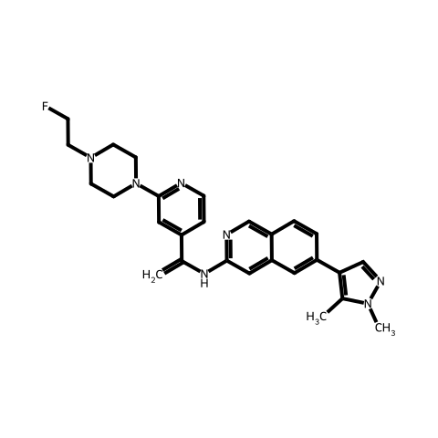 C=C(Nc1cc2cc(-c3cnn(C)c3C)ccc2cn1)c1ccnc(N2CCN(CCF)CC2)c1